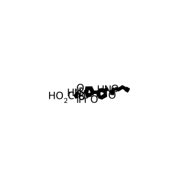 C#CCCOC(=O)Nc1ccc2oc3cc(S(=O)(=O)N[C@H](C(=O)O)C(C)C)ccc3c2c1